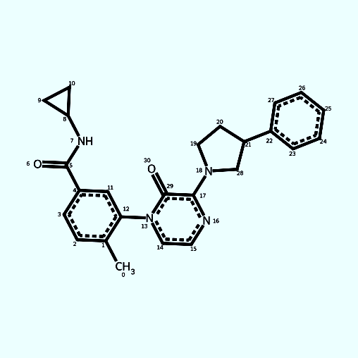 Cc1ccc(C(=O)NC2CC2)cc1-n1ccnc(N2CCC(c3ccccc3)C2)c1=O